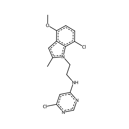 COc1ccc(Cl)c2c1cc(C)n2CCNc1cc(Cl)ncn1